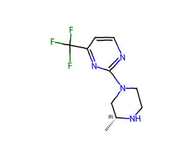 C[C@@H]1CN(c2nccc(C(F)(F)F)n2)CCN1